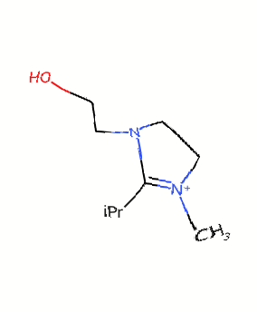 CC(C)C1=[N+](C)CCN1CCO